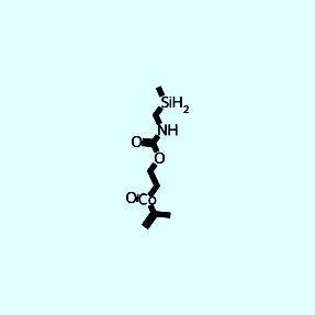 C=[C](C)[Co](=[O])[CH2]COC(=O)NC[SiH2]C